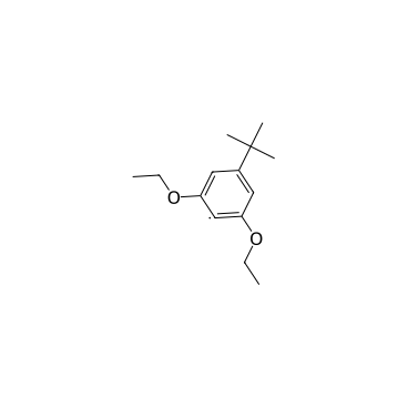 CCOc1[c]c(OCC)cc(C(C)(C)C)c1